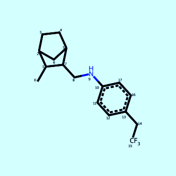 CC1C2CCC(C2)C1CNc1ccc(CC(F)(F)F)cc1